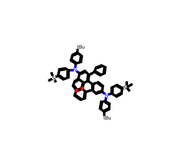 CC(C)(C)c1ccc(N(c2ccc([Si](C)(C)C)cc2)c2ccc(-c3c(-c4ccccc4)cc(N(c4ccc(C(C)(C)C)cc4)c4ccc([Si](C)(C)C)cc4)c4ccccc34)c(-c3ccccc3)c2)cc1